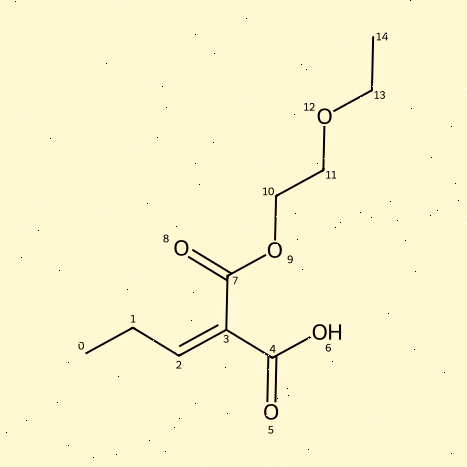 CCC=C(C(=O)O)C(=O)OCCOCC